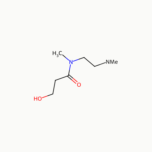 CNCCN(C)C(=O)CCO